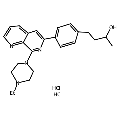 CCN1CCN(c2nc(-c3ccc(CCC(C)O)cc3)cc3cccnc23)CC1.Cl.Cl